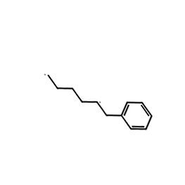 [CH2]CCC[CH]Cc1ccccc1